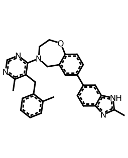 Cc1nc2ccc(-c3ccc4c(c3)CN(c3ncnc(C)c3Cc3ccccc3C)CCO4)cc2[nH]1